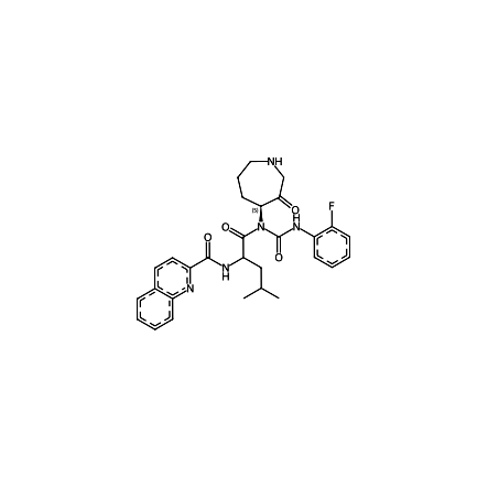 CC(C)CC(NC(=O)c1ccc2ccccc2n1)C(=O)N(C(=O)Nc1ccccc1F)[C@H]1CCCNCC1=O